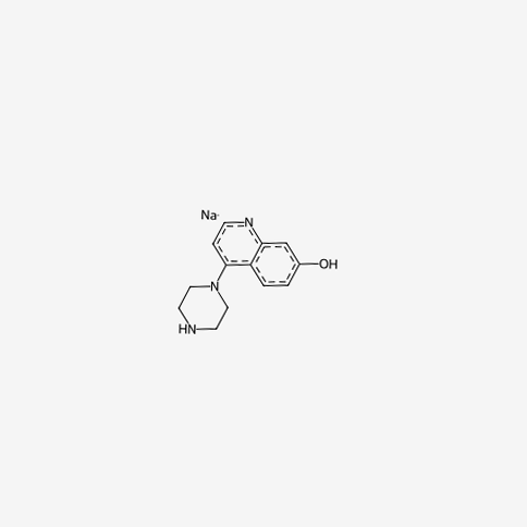 Oc1ccc2c(N3CCNCC3)ccnc2c1.[Na]